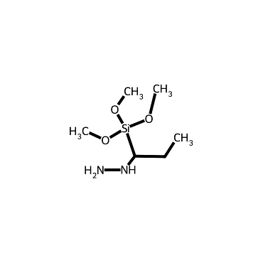 CCC(NN)[Si](OC)(OC)OC